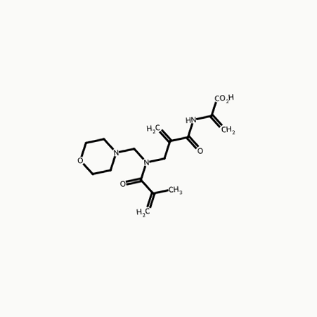 C=C(C)C(=O)N(CC(=C)C(=O)NC(=C)C(=O)O)CN1CCOCC1